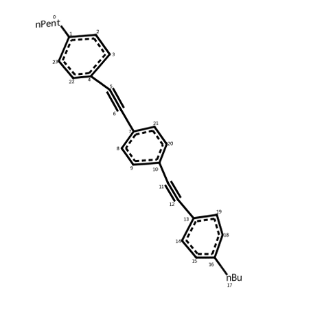 CCCCCc1ccc(C#Cc2ccc(C#Cc3ccc(CCCC)cc3)cc2)cc1